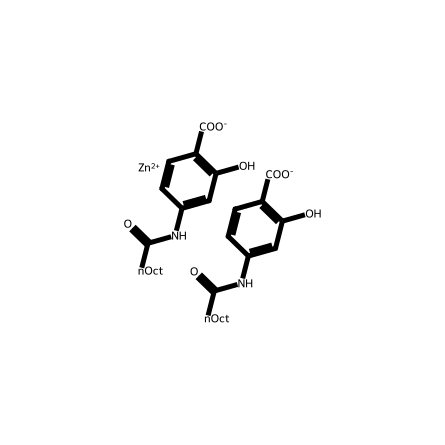 CCCCCCCCC(=O)Nc1ccc(C(=O)[O-])c(O)c1.CCCCCCCCC(=O)Nc1ccc(C(=O)[O-])c(O)c1.[Zn+2]